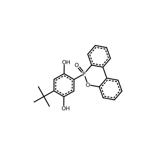 CC(C)(C)c1cc(O)c(P2(=O)Oc3ccccc3-c3ccccc32)cc1O